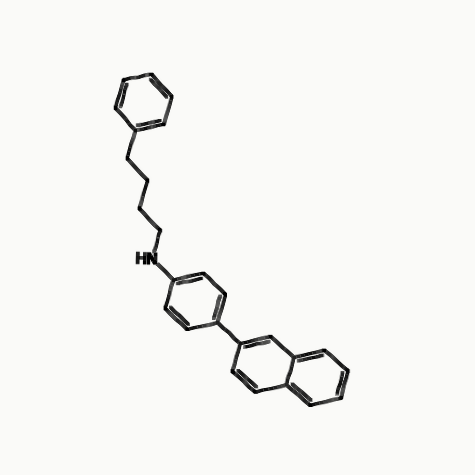 c1ccc(CCCCNc2ccc(-c3ccc4ccccc4c3)cc2)cc1